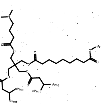 CCCCCC(CCCCC)CC(=O)OCC(COC(=O)CCCCCCCC(=O)OCCC)(COC(=O)CCCN(C)C)COC(=O)CC(CCCCC)CCCCC